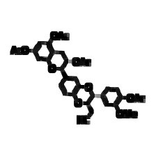 COc1cc([C@H]2Oc3cc([C@H]4Oc5cc(OC(C)=O)cc(OC(C)=O)c5C[C@@H]4OC(C)=O)ccc3O[C@@H]2CC#N)ccc1OC(C)=O